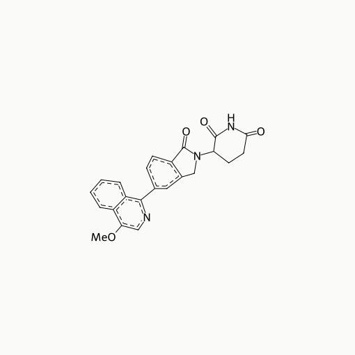 COc1cnc(-c2ccc3c(c2)CN(C2CCC(=O)NC2=O)C3=O)c2ccccc12